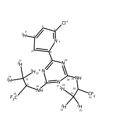 [2H]c1cc(Cl)nc(-c2nc(NC(C([2H])([2H])[2H])C(F)(F)F)nc(NC(C([2H])([2H])[2H])C(F)(F)F)n2)c1